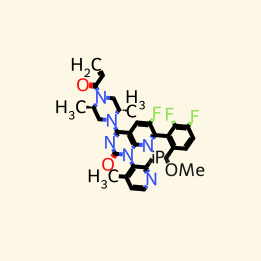 C=CC(=O)N1C[C@H](C)N(c2nc(=O)n(-c3c(C)ccnc3C(C)C)c3nc(-c4c(COC)ccc(F)c4F)c(F)cc23)C[C@H]1C